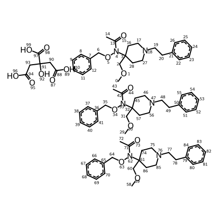 COCC1(N(OCc2ccccc2)C(C)=O)CCN(CCc2ccccc2)CC1.COCC1(N(OCc2ccccc2)C(C)=O)CCN(CCc2ccccc2)CC1.COCC1(N(OCc2ccccc2)C(C)=O)CCN(CCc2ccccc2)CC1.O=C(O)CC(O)(CC(=O)O)C(=O)O